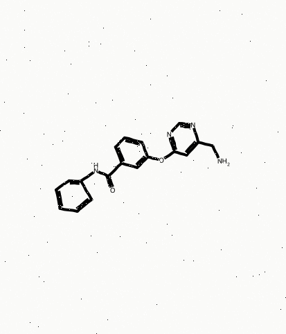 NCc1cc(Oc2cccc(C(=O)Nc3ccccc3)c2)ncn1